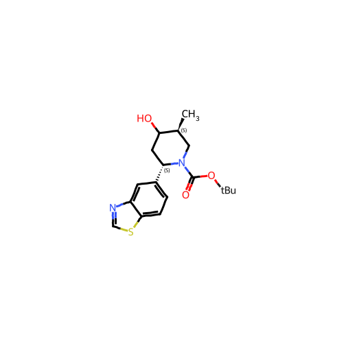 C[C@H]1CN(C(=O)OC(C)(C)C)[C@H](c2ccc3scnc3c2)CC1O